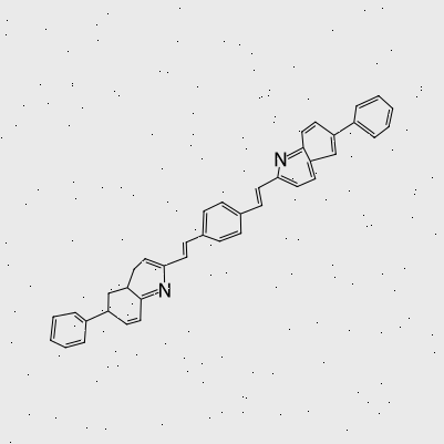 C1=CC(c2ccccc2)CC2CC=C(/C=C/c3ccc(/C=C/c4ccc5cc(-c6ccccc6)ccc5n4)cc3)N=C12